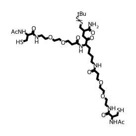 CC(=O)NC(CS)C(=O)NCCOCCOCCC(=O)NCCCCC(NC(=O)CCOCCOCCNC(=O)C(CS)NC(C)=O)C(=O)CC(CSSC(C)(C)C)C(N)=O